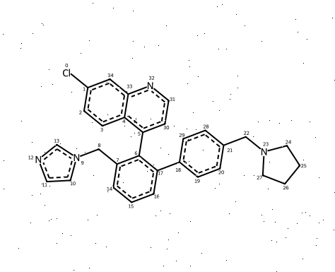 Clc1ccc2c(-c3c(Cn4ccnc4)cccc3-c3ccc(CN4CCCC4)cc3)ccnc2c1